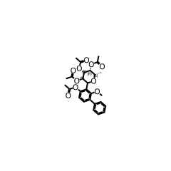 COc1c(-c2ccccc2)ccc(OC(C)=O)c1C1O[C@@H](C)[C@@H](OC(C)=O)[C@@H](OC(C)=O)[C@@H]1OC(C)=O